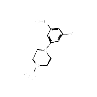 O=Cc1cc(Cl)cc(N2CCN(C(=O)O)CC2)c1